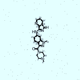 CN1CCN(C(=O)c2nn(C)c3cc(Nc4n[nH]c5cccnc45)ccc23)CC1